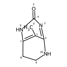 Cc1c2nc(=O)[nH]c1CCN2